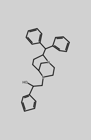 OC(CN1CCN2CC1CCC2C(c1ccccc1)c1ccccc1)c1ccccc1